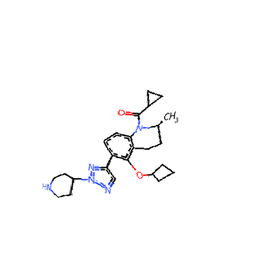 C[C@H]1CCc2c(ccc(-c3cnn(C4CCNCC4)n3)c2OC2CCC2)N1C(=O)C1CC1